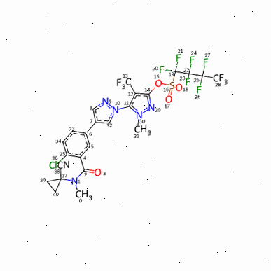 CN(C(=O)c1cc(-c2cnn(-c3c(C(F)(F)F)c(OS(=O)(=O)C(F)(F)C(F)(F)C(F)(F)C(F)(F)F)nn3C)c2)ccc1Cl)C1(C#N)CC1